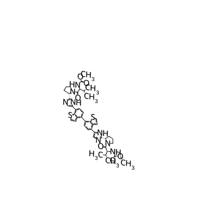 COC(=O)N[C@H](C(=O)N1CCC[C@H]1c1ncc(-c2ccc(-c3ccc(-c4cnc([C@@H]5CCCN5C(=O)[C@@H](NC(=O)OC)C(C)C)[nH]4)c4sccc34)c3sccc23)[nH]1)C(C)C